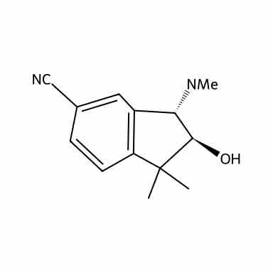 CN[C@H]1c2cc(C#N)ccc2C(C)(C)[C@@H]1O